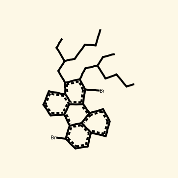 CCCCC(CC)Cc1c(CC(CC)CCCC)c2cccc3c4c(Br)ccc5cccc(c(c1Br)c23)c54